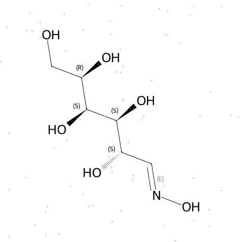 OC[C@@H](O)[C@H](O)[C@@H](O)[C@@H](O)/C=N/O